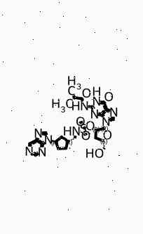 CC(C)C(=O)Nc1nc2c(ncn2[C@@H]2O[C@H](CO)C[C@H]2OS(=O)(=O)NC[C@@H]2[CH]C[C@@H](n3cnc4cncnc43)C2)c(=O)[nH]1